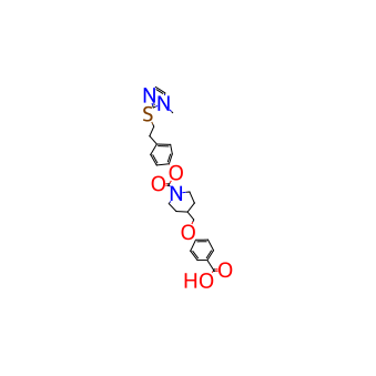 Cn1ccnc1SCCc1ccc(OC(=O)N2CCC(COc3ccc(C(=O)O)cc3)CC2)cc1